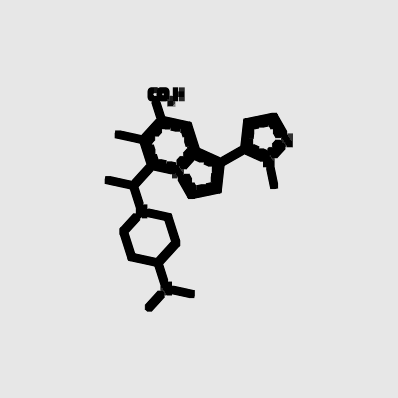 Cc1c(C(=O)O)cc2c(-c3ccnn3C)ccn2c1C(C)N1CCC(N(C)C)CC1